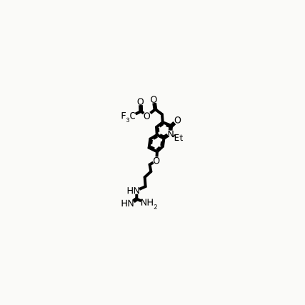 CCn1c(=O)c(CC(=O)OC(=O)C(F)(F)F)cc2ccc(OCCCCNC(=N)N)cc21